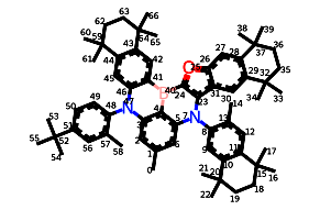 Cc1cc2c3c(c1)N(c1cc4c(cc1C)C(C)(C)CCC4(C)C)c1c(oc4cc5c(cc14)C(C)(C)CCC5(C)C)B3c1cc3c(cc1N2c1ccc(C(C)(C)C)cc1C)C(C)(C)CCC3(C)C